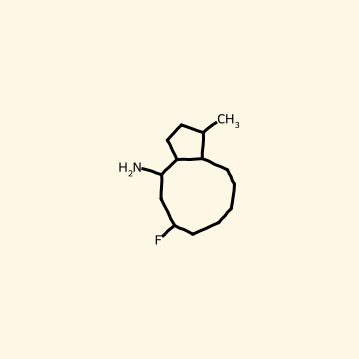 CC1CCC2C(N)CC(F)CCCCCC12